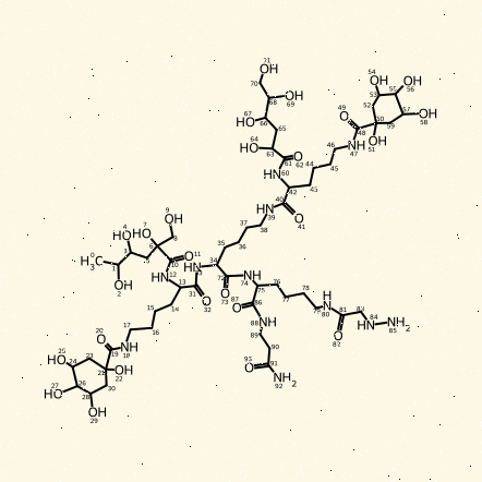 CC(O)C(O)CC(O)(CO)C(=O)NC(CCCCNC(=O)C1(O)CC(O)C(O)C(O)C1)C(=O)NC(CCCCNC(=O)C(CCCCNC(=O)C1(O)CC(O)C(O)C(O)C1)NC(=O)C(O)CC(O)C(O)CO)C(=O)NC(CCCCNC(=O)CNN)C(=O)NCCC(N)=O